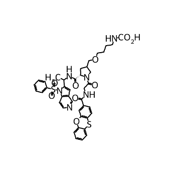 CC(NC(=O)[C@@H]1CC(COCCCCNC(=O)O)CN1C(=O)CNC(=O)c1ccc2c(c1)Oc1ccccc1S2)c1cc2cnccc2n1S(=O)(=O)c1ccccc1